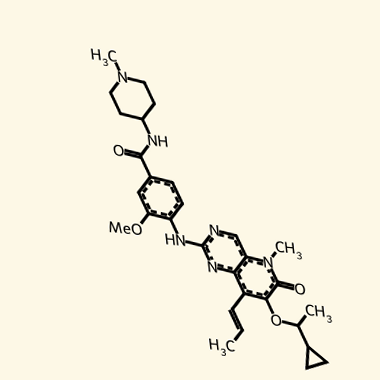 CC=Cc1c(OC(C)C2CC2)c(=O)n(C)c2cnc(Nc3ccc(C(=O)NC4CCN(C)CC4)cc3OC)nc12